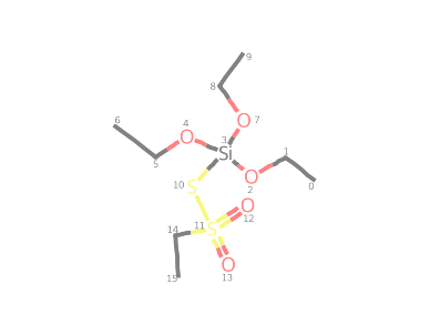 CCO[Si](OCC)(OCC)SS(=O)(=O)CC